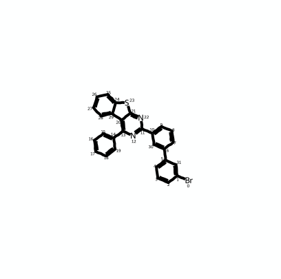 Brc1cccc(-c2cccc(-c3nc(-c4ccccc4)c4c(n3)sc3ccccc34)c2)c1